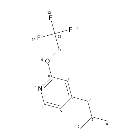 CC(C)Cc1ccnc(OCC(F)(F)F)c1